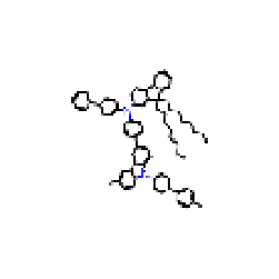 CCCCCCCCC1(CCCCCCCC)c2ccccc2-c2ccc(N(c3ccc(-c4ccccc4)cc3)c3ccc(-c4ccc5c(c4)c4cc(C)ccc4n5-c4ccc(-c5ccc(C)cc5)cc4)cc3)cc21